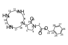 O=C(CN1CCC(N2CCNCCNCCNCC2)C1=O)OCc1ccccc1